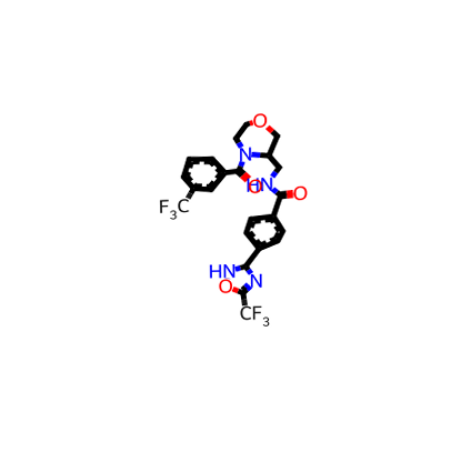 O=C(NCC1COCCN1C(=O)c1cccc(C(F)(F)F)c1)c1ccc(C2N=C(C(F)(F)F)ON2)cc1